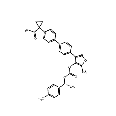 Cc1ccc([C@@H](C)OC(=O)Nc2c(-c3ccc(-c4ccc(C5(C(=O)O)CC5)cc4)cc3)noc2C)cc1